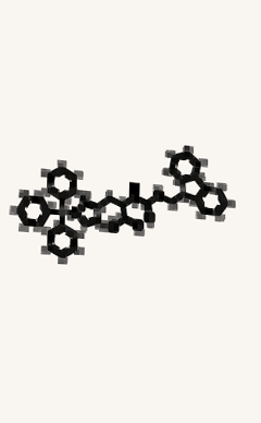 O=C(NC(Cc1ccn(C(c2ccccc2)(c2ccccc2)c2ccccc2)n1)C(=O)O)OCC1c2ccccc2-c2ccccc21